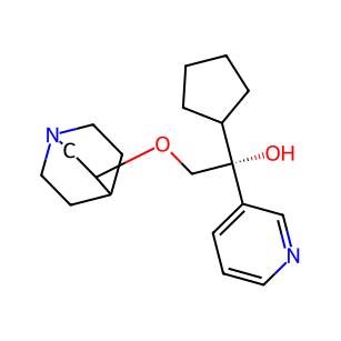 O[C@@](COC1CN2CCC1CC2)(c1cccnc1)C1CCCC1